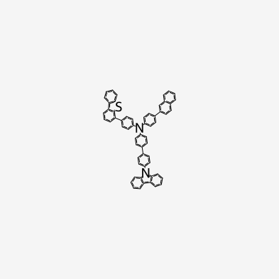 c1ccc2cc(-c3ccc(N(c4ccc(-c5ccc(-n6c7ccccc7c7ccccc76)cc5)cc4)c4ccc(-c5cccc6c5sc5ccccc56)cc4)cc3)ccc2c1